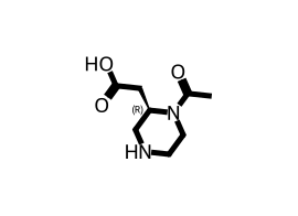 CC(=O)N1CCNC[C@H]1CC(=O)O